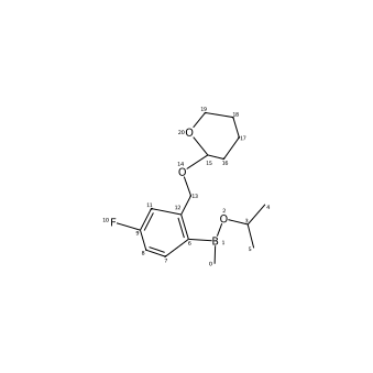 CB(OC(C)C)c1ccc(F)cc1COC1CCCCO1